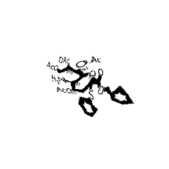 CC(=O)OC[C@@H](OC(C)=O)[C@@H](OC(C)=O)C1O[C@](Sc2ccccc2)(C(=O)OCc2ccccc2)C[C@H](OC(C)=O)[C@H]1N